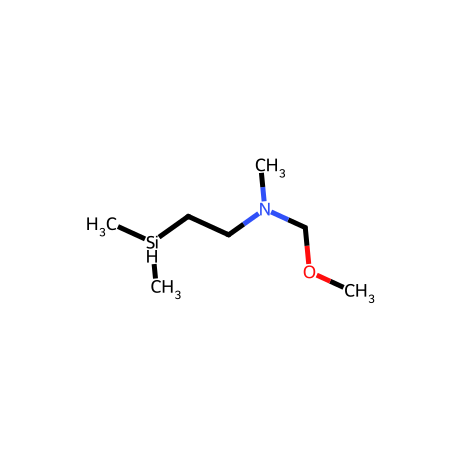 COCN(C)CC[SiH](C)C